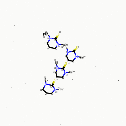 CCCN1CCCN(CC)C1=S.CCCN1CCCN(CC)C1=S.CCCN1CCCN(CC)C1=S.CCCN1CCCN(CC)C1=S.[Pt]